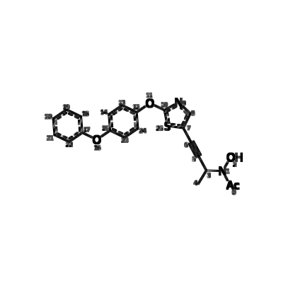 CC(=O)N(O)C(C)C#Cc1cnc(Oc2ccc(Oc3ccccc3)cc2)s1